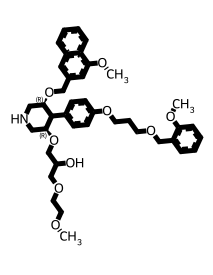 COCCOCC(O)CO[C@H]1CNC[C@H](OCc2cc(OC)c3ccccc3c2)C1c1ccc(OCCCOCc2ccccc2OC)cc1